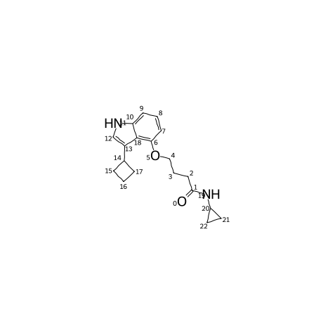 O=C(CCCOc1cccc2[nH]cc(C3CCC3)c12)NC1CC1